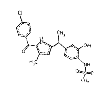 Cc1cc(C(C)c2ccc(NS(C)(=O)=O)c(O)c2)[nH]c1C(=O)c1ccc(Cl)cc1